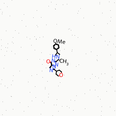 COc1ccc(C2CN([C@@H](C)c3nn4c(C5CCOCC5)ncc4c(=O)[nH]3)C2)cc1